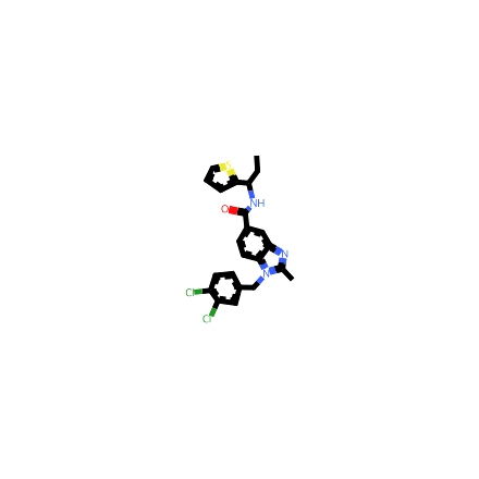 CCC(NC(=O)c1ccc2c(c1)nc(C)n2Cc1ccc(Cl)c(Cl)c1)c1cccs1